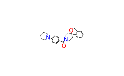 O=C(c1ccc(N2CCCCC2)cc1)N1CCC2(CC1)OCc1ccccc12